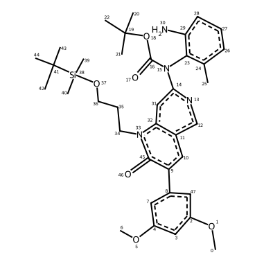 COc1cc(OC)cc(-c2cc3cnc(N(C(=O)OC(C)(C)C)c4c(C)cccc4N)cc3n(CCCO[Si](C)(C)C(C)(C)C)c2=O)c1